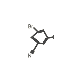 N#Cc1cc(Br)cc(I)c1